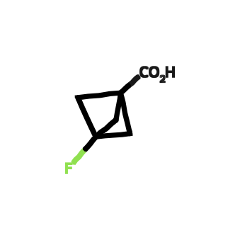 O=C(O)C12CC(F)(C1)C2